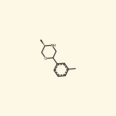 Cc1cccc(C2CN[C@H](C)CO2)c1